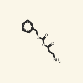 NCCC(=O)OC(=O)OCc1ccccc1